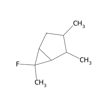 CC1CC2C(C1C)C2(C)F